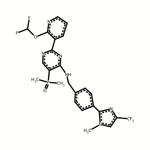 Cn1cc(C(F)(F)F)nc1-c1ccc(CNc2nc(-c3cccnc3OC(F)F)ncc2P(C)(C)=O)cc1